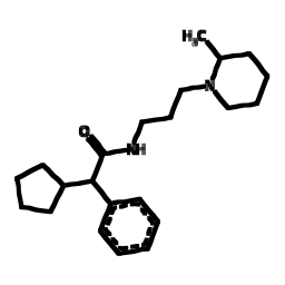 CC1CCCCN1CCCNC(=O)C(c1ccccc1)C1CCCC1